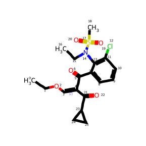 CCO/C=C(\C(=O)c1cccc(Cl)c1N(CC)S(C)(=O)=O)C(=O)C1CC1